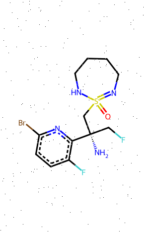 N[C@@](CF)(CS1(=O)=NCCCCN1)c1nc(Br)ccc1F